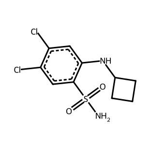 NS(=O)(=O)c1cc(Cl)c(Cl)cc1NC1CCC1